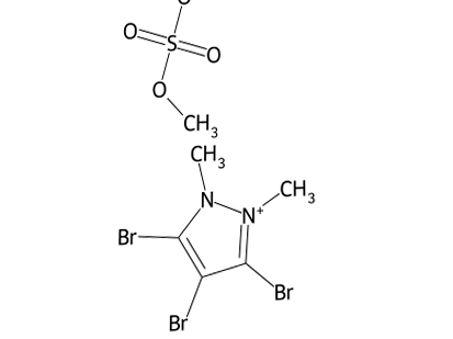 COS(=O)(=O)[O-].Cn1c(Br)c(Br)c(Br)[n+]1C